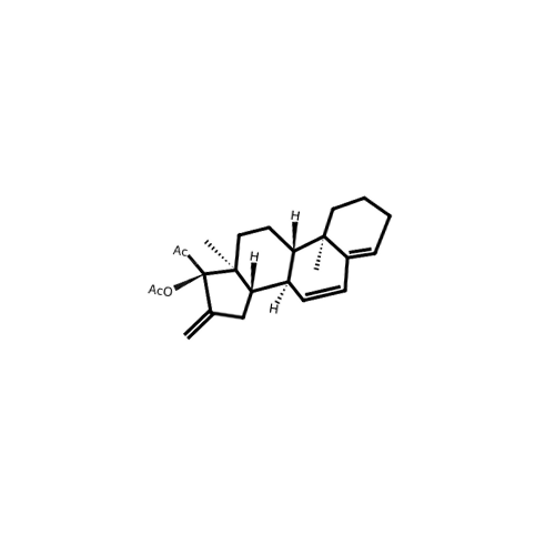 C=C1C[C@H]2[C@@H]3C=CC4=CCCC[C@]4(C)[C@H]3CC[C@]2(C)[C@@]1(OC(C)=O)C(C)=O